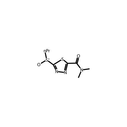 CCC[S+]([O-])c1nnc(C(=O)N(C)C)s1